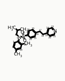 Cc1ccc(N(CC(C)C)S(=O)(=O)c2ccc(CCc3ccncc3)cc2)c(C)c1